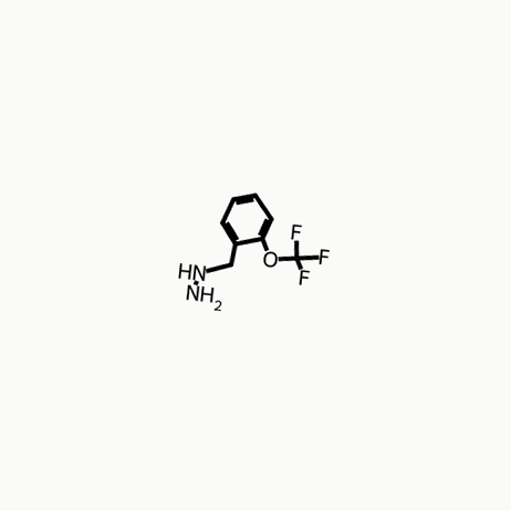 NNCc1ccccc1OC(F)(F)F